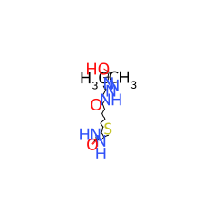 CC(C)(CO)n1cc(CNC(=O)CCCCC2SCC3NC(=O)NC32)nn1